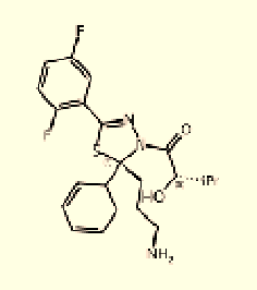 CC(C)[C@H](O)C(=O)N1N=C(c2cc(F)ccc2F)S[C@@]1(CCCN)C1C=CC=CC1